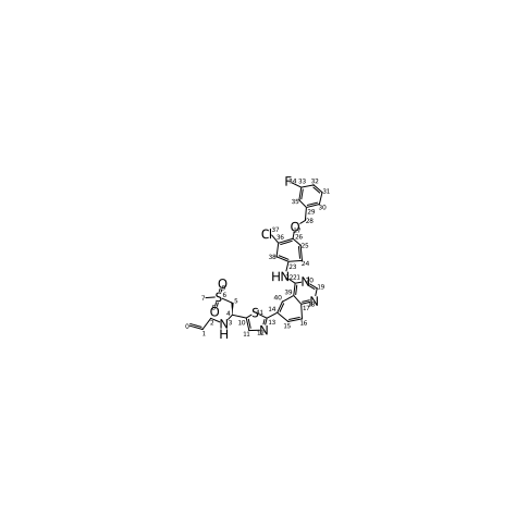 C=CCN[C@@H](CS(C)(=O)=O)c1cnc(-c2ccc3ncnc(Nc4ccc(OCc5cccc(F)c5)c(Cl)c4)c3c2)s1